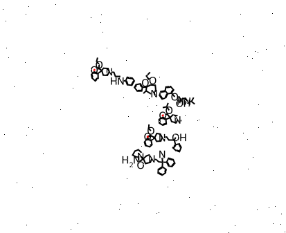 CC(C)NCC(O)COc1cccc2ccccc12.CC(C)OC(=O)C1(c2ccccc2)CCN(C)CC1.CCC(=O)OC1(c2ccccc2)CCCN(C)CC1C.CCOC(=O)C1(c2ccccc2)CCN(CCC(O)c2ccccc2)CC1.CCOC(=O)C1(c2ccccc2)CCN(CCCNc2ccccc2)CC1.N#CC(CCN1CCC(C(N)=O)(N2CCCCC2)CC1)(c1ccccc1)c1ccccc1